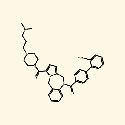 COc1ccccc1-c1ccc(C(=O)N2Cc3ccc(C(=O)N4CCN(CCCN(C)C)CC4)n3Cc3ccccc32)cc1